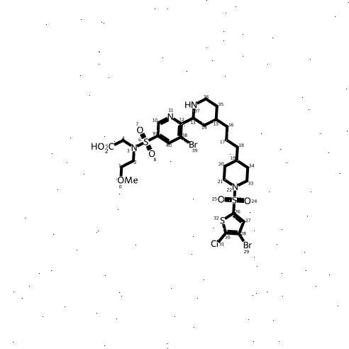 COCCN(CC(=O)O)S(=O)(=O)c1cnc(C2CC(CCCC3CCN(S(=O)(=O)c4cc(Br)c(Cl)s4)CC3)CCN2)c(Br)c1